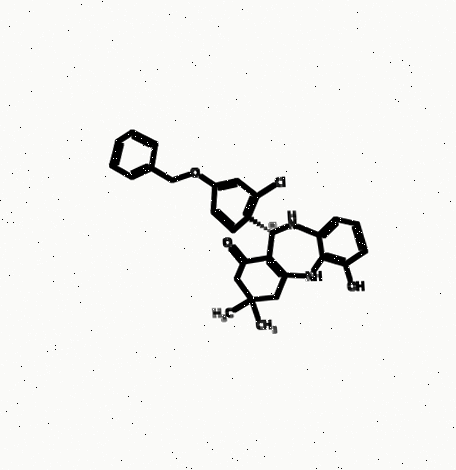 CC1(C)CC(=O)C2=C(C1)Nc1c(O)cccc1N[C@H]2c1ccc(OCc2ccccc2)cc1Cl